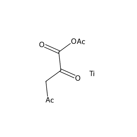 CC(=O)CC(=O)C(=O)OC(C)=O.[Ti]